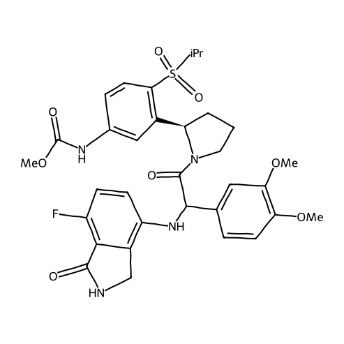 COC(=O)Nc1ccc(S(=O)(=O)C(C)C)c([C@H]2CCCN2C(=O)C(Nc2ccc(F)c3c2CNC3=O)c2ccc(OC)c(OC)c2)c1